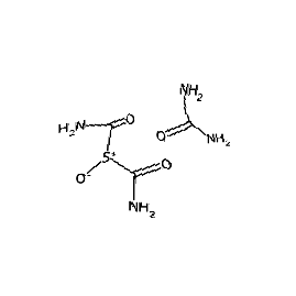 NC(=O)[S+]([O-])C(N)=O.NC(N)=O